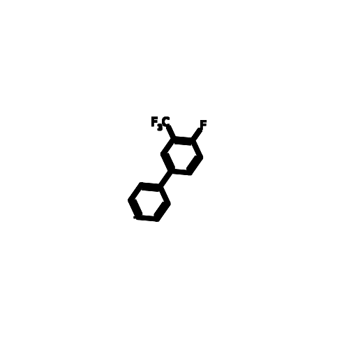 Fc1ccc(-c2cc[c]cc2)cc1C(F)(F)F